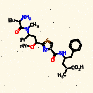 CCCOC(CC(C(C)C)N(C)C(=O)C(N)C(C)CC)c1nc(C(=O)NC(Cc2ccccc2)CC(C)C(=O)O)cs1